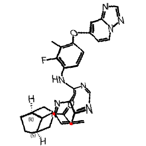 C=CC(=O)N1C[C@H]2CC[C@@H](C1)C2c1ccc2ncnc(Nc3ccc(Oc4ccn5ncnc5c4)c(C)c3F)c2n1